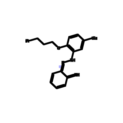 CC(C)CCCOc1ccc(C(C)(C)C)cc1N/N=C1/C=CC=CC1=N